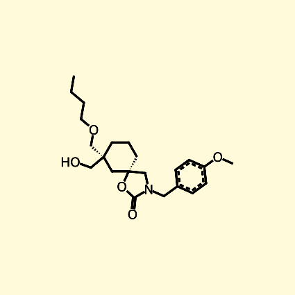 CCCCOC[C@]1(CO)CCC[C@@]2(CN(Cc3ccc(OC)cc3)C(=O)O2)C1